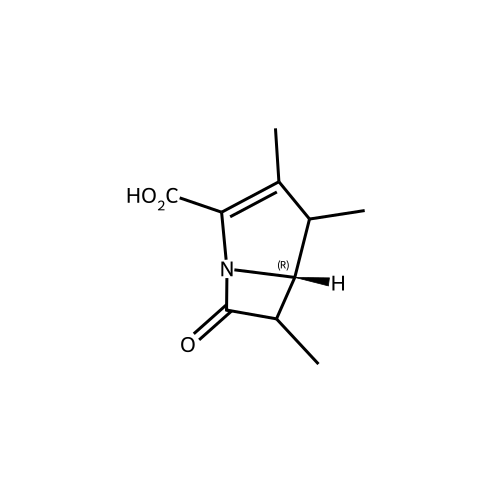 CC1=C(C(=O)O)N2C(=O)C(C)[C@H]2C1C